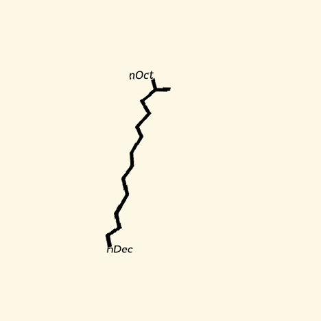 CCCCCCCCCCCCCCCCCCCCCC(C)CCCCCCCC